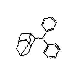 c1ccc(P(c2ccccc2)C2C3CC4CC(C3)CC2C4)cc1